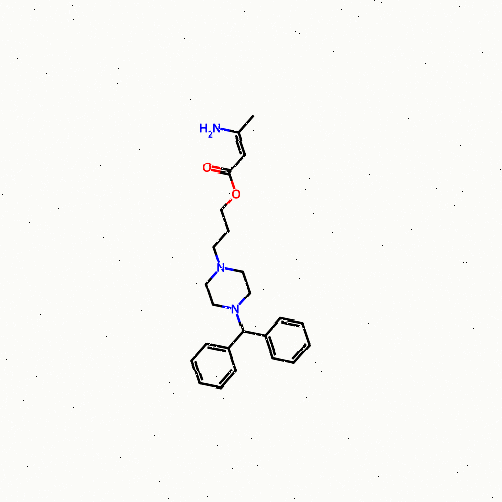 CC(N)=CC(=O)OCCCN1CCN(C(c2ccccc2)c2ccccc2)CC1